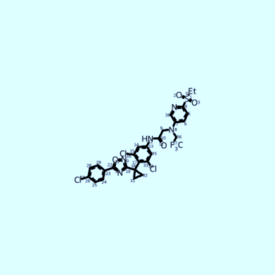 CCS(=O)(=O)c1ccc(N(CC(=O)Nc2cc(Cl)c(C3(c4noc(-c5ccc(Cl)cc5)n4)CC3)c(Cl)c2)CC(F)(F)F)cn1